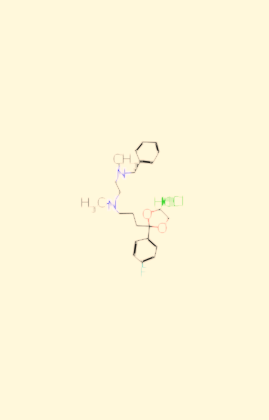 CN(CCCC1(c2ccc(F)cc2)OCCO1)CCN(C)Cc1ccccc1.Cl.Cl